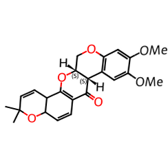 COc1cc2c(cc1OC)[C@@H]1C(=O)C3=C(O[C@@H]1CO2)C1C=CC(C)(C)OC1C=C3